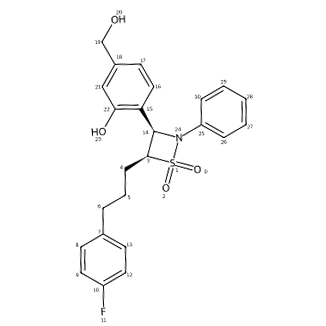 O=S1(=O)[C@@H](CCCc2ccc(F)cc2)[C@@H](c2ccc(CO)cc2O)N1c1ccccc1